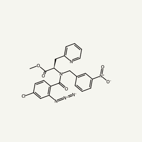 COC(=O)[C@@H](Cc1ccccn1)N(Cc1cccc([N+](=O)[O-])c1)C(=O)c1ccc(Cl)cc1N=[N+]=[N-]